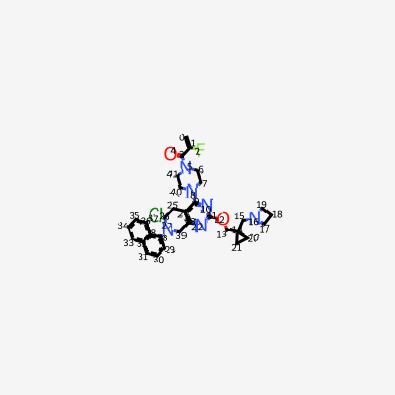 C=C(F)C(=O)N1CCN(c2nc(OCC3(CN4CCC4)CC3)nc3c2CCN(c2cccc4cccc(Cl)c24)C3)CC1